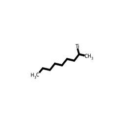 CCCCCCC[CH](C)[Ti]